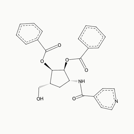 O=C(N[C@@H]1C[C@H](CO)[C@@H](OC(=O)c2ccccc2)[C@H]1OC(=O)c1ccccc1)c1ccncc1